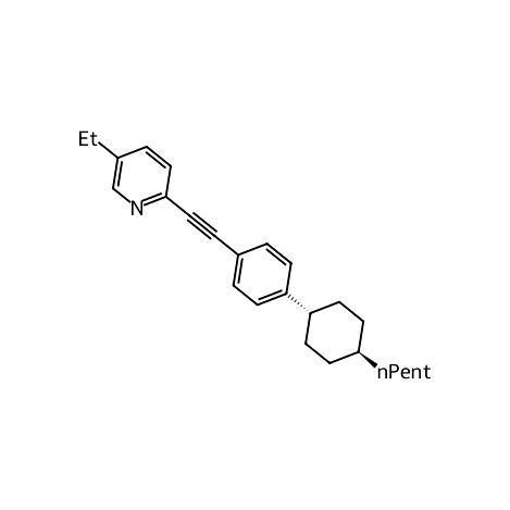 CCCCC[C@H]1CC[C@H](c2ccc(C#Cc3ccc(CC)cn3)cc2)CC1